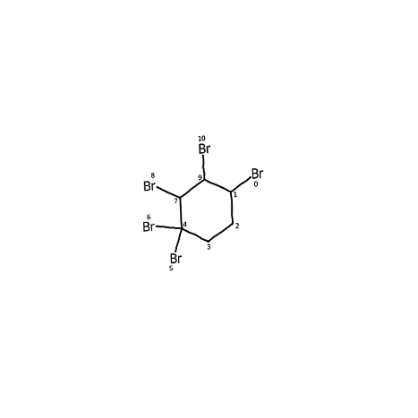 BrC1CCC(Br)(Br)C(Br)C1Br